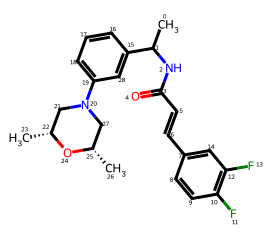 CC(NC(=O)/C=C/c1ccc(F)c(F)c1)c1cccc(N2C[C@@H](C)O[C@@H](C)C2)c1